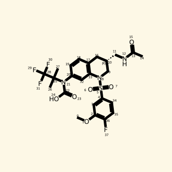 COc1cc(S(=O)(=O)N2C[C@@H](CNC(C)=O)Cc3ccc(N(C(=O)O)C(C)(C)C(F)(F)F)cc32)ccc1F